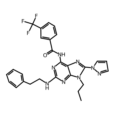 CCCn1c(-n2cccn2)nc2c(NC(=O)c3cccc(C(F)(F)F)c3)nc(NCCc3ccccc3)nc21